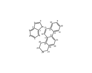 C1=Cc2ccccc2C1.c1ccc2c(c1)ccc1c3c(ccc12)CCCC3